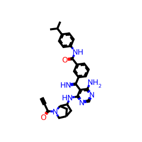 C#CC(=O)N1CC2CC(Nc3ncnc(N)c3C(=N)c3cccc(C(=O)Nc4ccc(C(C)C)cc4)c3)C1C2